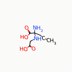 CCCC(N)(NCC(=O)O)C(=O)O